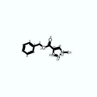 O=C(OCc1ccccc1)c1cn(I)nn1